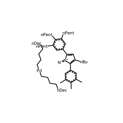 CCCCCCCCCCCCC[CH2][Pd][CH2]CCCCCCCCCCCCC.CCCCCc1cc(C2=CC(CCCC)=C(c3cc(C)c(C)c(C)c3)[N+]2=[N-])cc(CCCCC)c1CCCCC